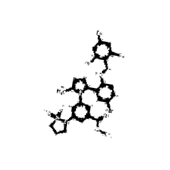 COC(=O)c1cc(N2CCCS2(=O)=O)cc(-n2c(C)ccc2-c2cc(Br)ccc2OCc2c(F)cc(F)cc2F)c1